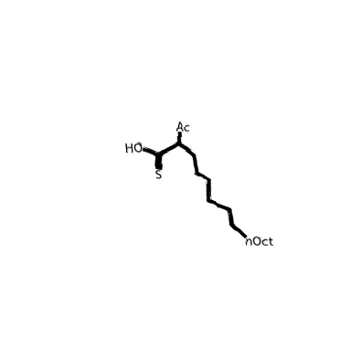 CCCCCCCCCCCCCCC(C(C)=O)C(O)=S